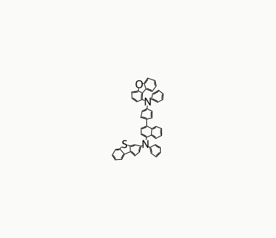 c1ccc(N(c2ccc3c(c2)sc2ccccc23)c2ccc(-c3ccc(N(c4ccccc4)c4cccc5oc6ccccc6c45)cc3)c3ccccc23)cc1